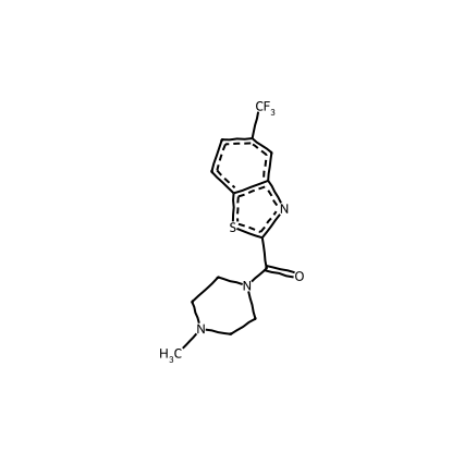 CN1CCN(C(=O)c2nc3cc(C(F)(F)F)ccc3s2)CC1